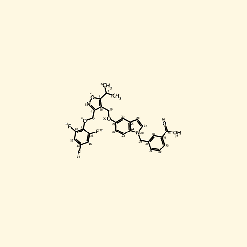 CC(C)c1onc(COc2c(F)cc(F)cc2F)c1COc1ccc2c(ccn2Cc2cccc(C(=O)O)c2)c1